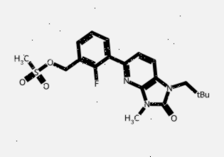 Cn1c(=O)n(CC(C)(C)C)c2ccc(-c3cccc(COS(C)(=O)=O)c3F)nc21